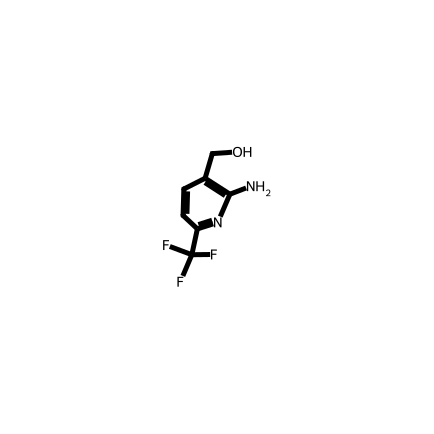 Nc1nc(C(F)(F)F)ccc1CO